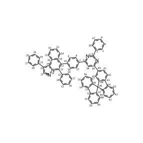 c1ccc(-c2nc(-c3ccc(-c4c(-c5ccccc5)n5ncc(-c6ccccc6)c5c5ccccc45)cc3)cc(-c3ccc4c(c3)C3(c5ccccc5-c5ccccc53)c3ccccc3-4)n2)cc1